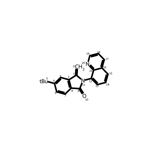 C=C1c2cc(C(C)(C)C)ccc2C(=O)N1c1cccc2cccnc12